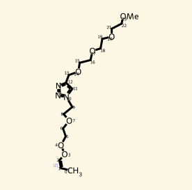 C/C=C\OOCCOCCn1cc(COCCOCCOCCOC)nn1